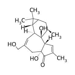 CC1=C[C@H]2[C@@]3(O)[C@H](C)CC4[C@H]([C@@H]3C=C(CO)C[C@]2(O)C1=O)C4(C)C